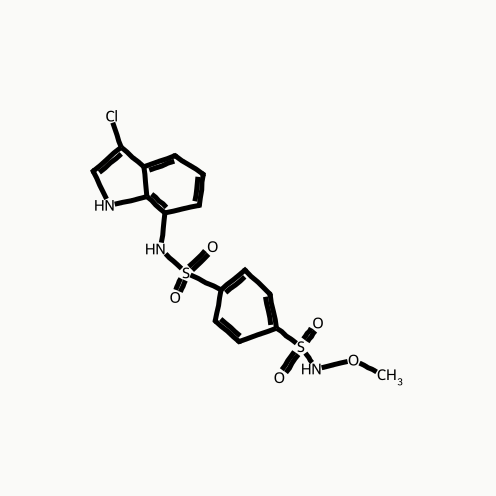 CONS(=O)(=O)c1ccc(S(=O)(=O)Nc2cccc3c(Cl)c[nH]c23)cc1